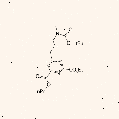 CCCOC(=O)c1cc(CCCN(C)C(=O)OC(C)(C)C)cc(C(=O)OCC)n1